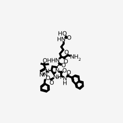 CC(C)(O)c1cnnn1[C@H]1C[C@@H](C(=O)NC(CCCCNC(=O)O)C(=O)C(N)=O)N(C(=O)[C@@H](CNC(=O)OCc2ccccc2)NC(=O)c2ccc3ccccc3c2)C1